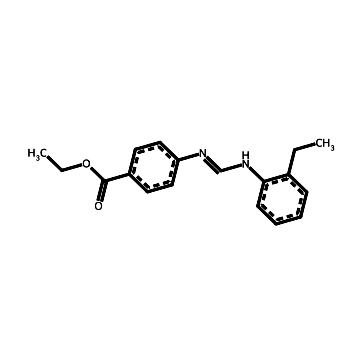 CCOC(=O)c1ccc(N=CNc2ccccc2CC)cc1